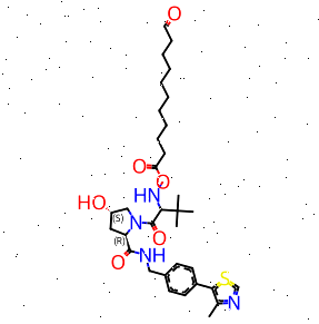 Cc1ncsc1-c1ccc(CNC(=O)[C@H]2C[C@H](O)CN2C(=O)C(NOC(=O)CCCCCCCCCC=O)C(C)(C)C)cc1